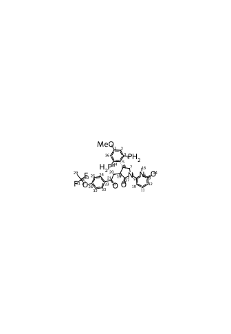 COc1cc(P)c([C@@H]2CN(c3cccc(=O)n3C)C(=O)[C@H]2CC(=O)c2ccc(OC(C)(F)F)cc2)c(P)c1